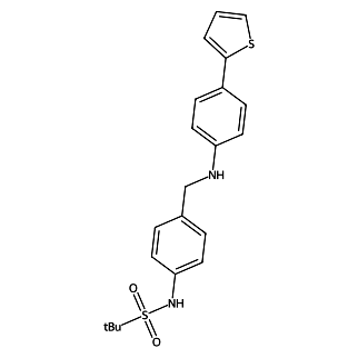 CC(C)(C)S(=O)(=O)Nc1ccc(CNc2ccc(-c3cccs3)cc2)cc1